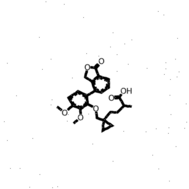 COc1ccc(-c2cccc3c2COC3=O)c(OCC2(CCC(C)C(=O)O)CC2)c1OC